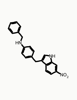 O=[N+]([O-])c1ccc2c(Cc3ccc(NCc4ccccc4)cc3)c[nH]c2c1